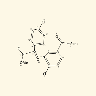 CCCCCC(=O)c1ccc(Cl)nc1.CON(C)C(=O)c1ccc(Cl)nc1